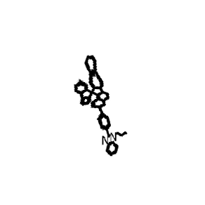 CCCn1c(-c2ccc(-c3ccc4c5c(ccc4c3)-c3cc4ccccc4cc3C53c4ccccc4-c4ccccc43)cc2)nc2ccccc21